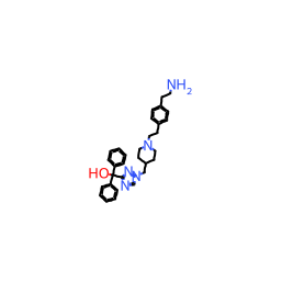 NCCc1ccc(CCN2CCC(Cn3cnc(C(O)(c4ccccc4)c4ccccc4)n3)CC2)cc1